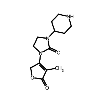 CC1=C(N2CCN(C3CCNCC3)C2=O)COC1=O